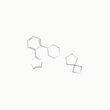 c1ccc(C2CCN([C@@H]3CCC4(CNC4)C3)CC2)c(-c2ncco2)c1